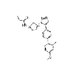 CCC(=O)N[C@H]1CC[C@@H](n2nncc2-c2ccc(-c3ccc(OC)cc3C)cc2)C1